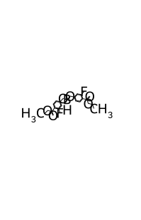 CCOC(=O)c1ccc(OBOc2ccc(C(=O)OCC)c(F)c2)cc1F